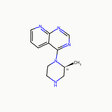 C[C@H]1CNCCN1c1ncnc2ncccc12